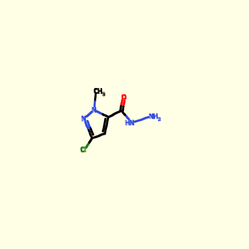 Cn1nc(Cl)cc1C(=O)NN